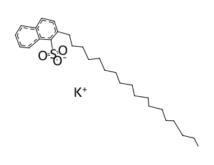 CCCCCCCCCCCCCCCCCCc1ccc2ccccc2c1S(=O)(=O)[O-].[K+]